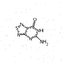 Nc1nc2nsnc2c(=O)[nH]1